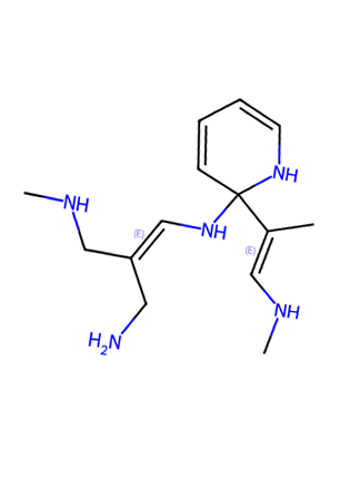 CN/C=C(\C)C1(N/C=C(\CN)CNC)C=CC=CN1